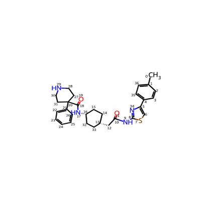 Cc1ccc(-c2csc(NC(=O)C[C@H]3CC[C@@H](NC(=O)C4(c5ccccc5)CCNCC4)CC3)n2)cc1